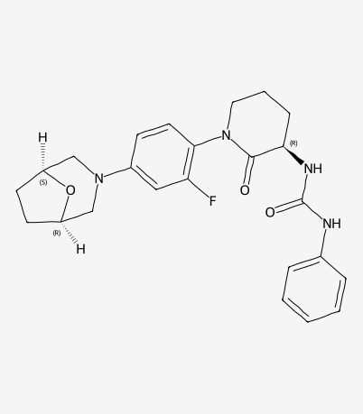 O=C(Nc1ccccc1)N[C@@H]1CCCN(c2ccc(N3C[C@H]4CC[C@@H](C3)O4)cc2F)C1=O